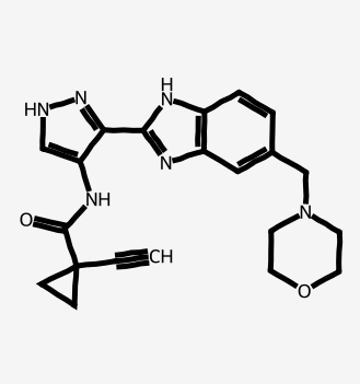 C#CC1(C(=O)Nc2c[nH]nc2-c2nc3cc(CN4CCOCC4)ccc3[nH]2)CC1